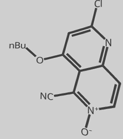 CCCCOc1cc(Cl)nc2cc[n+]([O-])c(C#N)c12